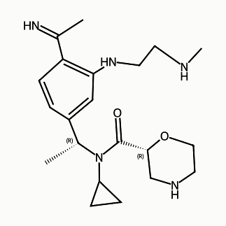 CNCCNc1cc([C@@H](C)N(C(=O)[C@H]2CNCCO2)C2CC2)ccc1C(C)=N